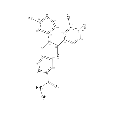 O=C(NO)c1ccc(CN(C(=O)c2ccc(Cl)c(Cl)c2)c2cccc(F)c2)cc1